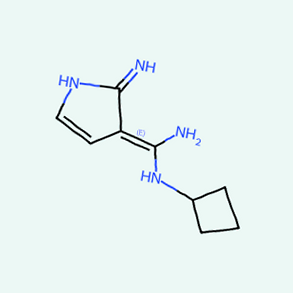 N=C1NC=C/C1=C(/N)NC1CCC1